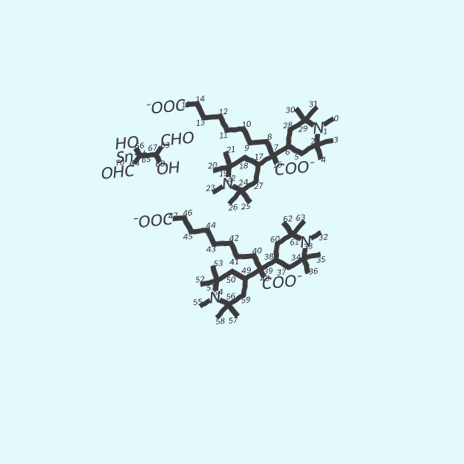 CN1C(C)(C)CC(C(CCCCCCCC(=O)[O-])(C(=O)[O-])C2CC(C)(C)N(C)C(C)(C)C2)CC1(C)C.CN1C(C)(C)CC(C(CCCCCCCC(=O)[O-])(C(=O)[O-])C2CC(C)(C)N(C)C(C)(C)C2)CC1(C)C.O=CC(O)C(O)C=O.[Sn+4]